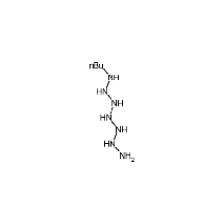 CCCCNNNNNNN